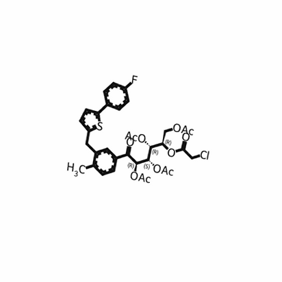 CC(=O)OC[C@@H](OC(=O)CCl)[C@@H](OC(C)=O)[C@H](OC(C)=O)[C@@H](OC(C)=O)C(=O)c1ccc(C)c(Cc2ccc(-c3ccc(F)cc3)s2)c1